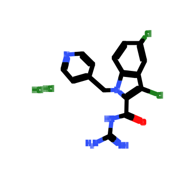 Cl.Cl.N=C(N)NC(=O)c1c(Cl)c2cc(Cl)ccc2n1Cc1ccncc1